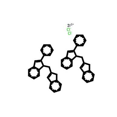 C1=C(CC2C(c3ccccc3)=Cc3ccccc32)Cc2ccccc21.C1=C(CC2C(c3ccccc3)=Cc3ccccc32)Cc2ccccc21.[Cl-].[Cl-].[Zr+2]